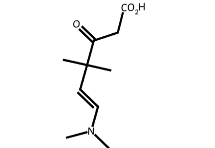 CN(C)C=CC(C)(C)C(=O)CC(=O)O